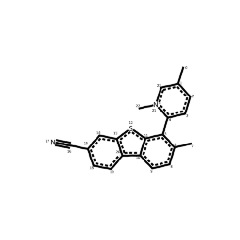 Cc1ccc(-c2c(C)ccc3c2sc2cc(C#N)ccc23)[n+](C)c1